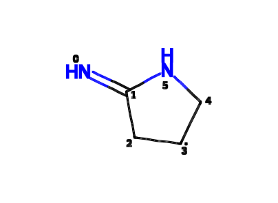 N=C1C[CH]CN1